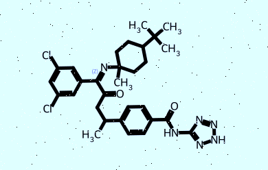 CC(CC(=O)/C(=N\C1(C)CCC(C(C)(C)C)CC1)c1cc(Cl)cc(Cl)c1)c1ccc(C(=O)Nc2nn[nH]n2)cc1